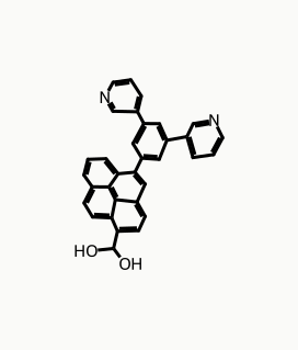 OC(O)c1ccc2cc(-c3cc(-c4cccnc4)cc(-c4cccnc4)c3)c3cccc4ccc1c2c43